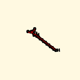 NC(COCCC=O)(COCCC=O)COCCC(=O)NCCOCCOCCOCCOCCOCCOCCOCCOCCOCCOCCOCCO